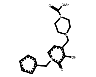 COC(=O)N1CCN(Cc2ccn(Cc3ccccc3)c(=O)c2O)CC1